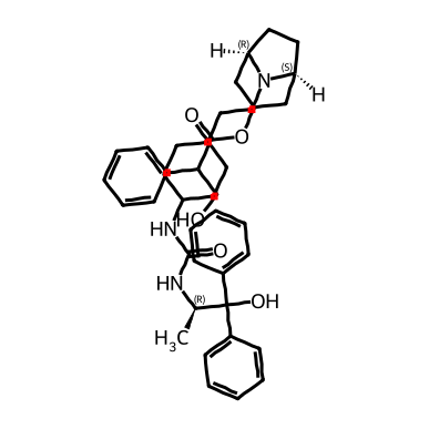 C[C@@H](NC(=O)NC1CCC(CCN2[C@@H]3CC[C@H]2CC(OC(=O)C(CO)c2ccccc2)C3)CC1)C(O)(c1ccccc1)c1ccccc1